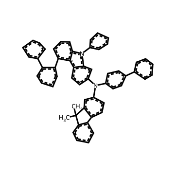 CC1(C)c2ccccc2-c2ccc(N(c3ccc(-c4ccccc4)cc3)c3ccc4c5c(-c6ccccc6-c6ccccc6)cccc5n(-c5ccccc5)c4c3)cc21